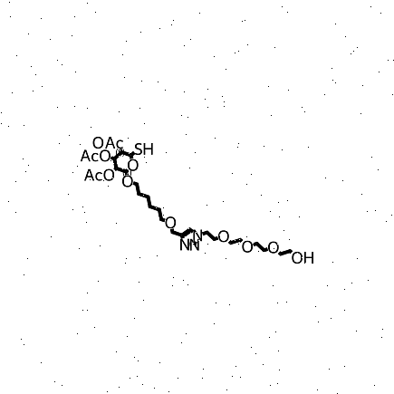 CC(=O)OC1C(OC(C)=O)[C@H](OC(C)=O)C(S)O[C@H]1OCCCCCCOCc1cn(CCOCCOCCOCCO)nn1